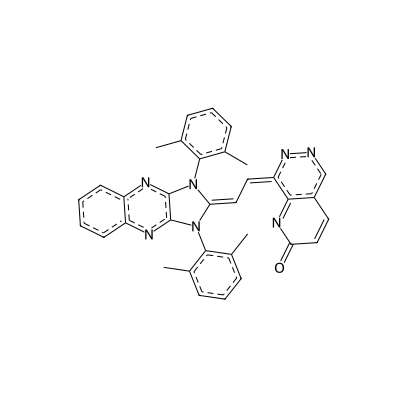 Cc1cccc(C)c1N1C(=C/C=c2/nncc3c2=NC(=O)C=C3)N(c2c(C)cccc2C)c2nc3ccccc3nc21